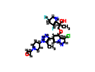 Cc1c(-c2cc(OC[C@](C)(O)c3ncc(F)cc3F)c3c(Cl)cnn3c2)nnn1C1CCN(C2COC2)CC1